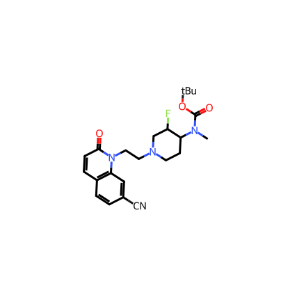 CN(C(=O)OC(C)(C)C)C1CCN(CCn2c(=O)ccc3ccc(C#N)cc32)CC1F